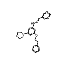 C(=NNc1cc(N2CCOCC2)nc(OCCc2ccccn2)n1)c1cncnc1